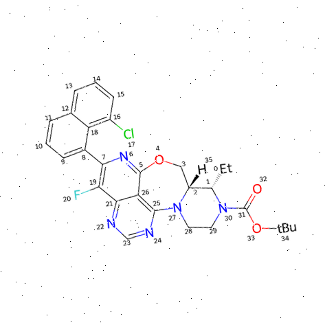 CC[C@H]1[C@H]2COc3nc(-c4cccc5cccc(Cl)c45)c(F)c4ncnc(c34)N2CCN1C(=O)OC(C)(C)C